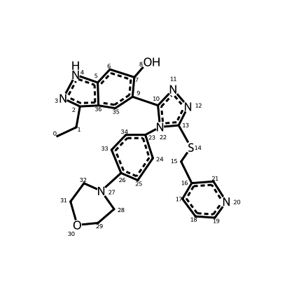 CCc1n[nH]c2cc(O)c(-c3nnc(SCc4cccnc4)n3-c3ccc(N4CCOCC4)cc3)cc12